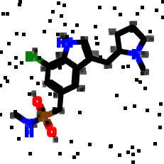 CNS(=O)(=O)Cc1cc(Br)c2[nH]cc(CC3CCCN3C)c2c1